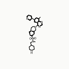 Cc1cc(-c2cccnc2)cc2c(N3CCc4ccc(S(=O)(=O)N(C)CC5CCNCC5)cc4C3)ncnc12